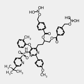 COc1ccc(-c2nc(CCC(COC(=O)c3ccc(CON(O)O)cc3)OC(=O)c3ccc(CON(O)O)cc3)c(Oc3ccccc3C)c(NS(=O)(=O)c3ccc(C(C)(C)C)cn3)n2)cc1